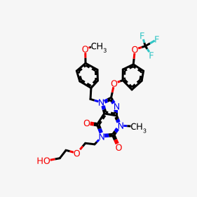 COc1ccc(Cn2c(Oc3cccc(OC(F)(F)F)c3)nc3c2c(=O)n(CCOCCO)c(=O)n3C)cc1